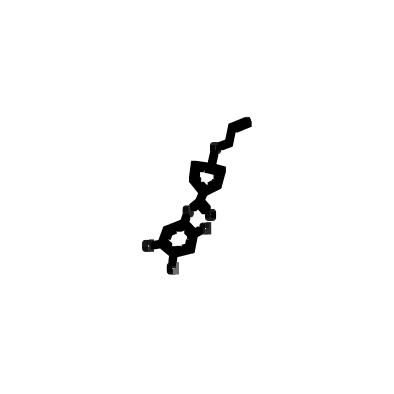 C=CCOc1ccc(C(=O)Oc2cc(Cl)c(Cl)cc2Cl)cc1